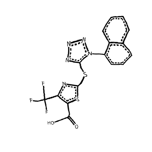 O=C(O)c1sc(Sc2nnnn2-c2cccc3ccccc23)nc1C(F)(F)F